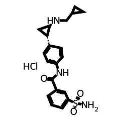 Cl.NS(=O)(=O)c1cccc(C(=O)Nc2ccc([C@@H]3C[C@H]3NCC3CC3)cc2)c1